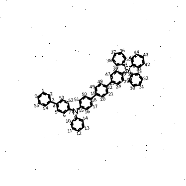 c1ccc(-c2ccc(N(c3ccccc3)c3ccc(-c4ccc(-c5ccc([Si](c6ccccc6)(c6ccccc6)c6ccccc6)cc5)cc4)cc3)cc2)cc1